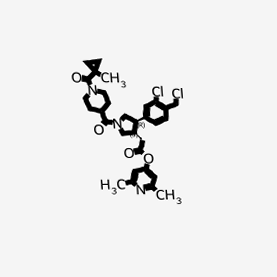 Cc1cc(OC(=O)C[C@@H]2CN(C(=O)C3CCN(C(=O)C4(C)CC4)CC3)C[C@H]2c2ccc(CCl)c(Cl)c2)cc(C)n1